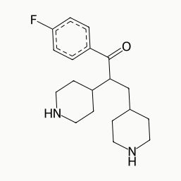 O=C(c1ccc(F)cc1)C(CC1CCNCC1)C1CCNCC1